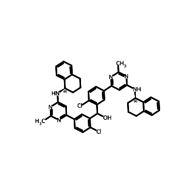 Cc1nc(N[C@@H]2CCCc3ccccc32)cc(-c2ccc(Cl)c(C(O)c3cc(-c4cc(N[C@@H]5CCCc6ccccc65)nc(C)n4)ccc3Cl)c2)n1